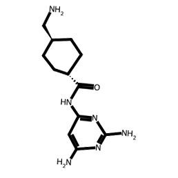 NC[C@H]1CC[C@H](C(=O)Nc2cc(N)nc(N)n2)CC1